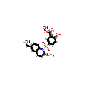 CCc1ccc2c(c1)CC[C@@H](C)N2S(=O)(=O)c1ccc(O)c(C(=O)OC)c1